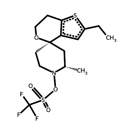 CCc1cc2c(s1)CCO[C@@]21CCN(OS(=O)(=O)C(F)(F)F)[C@@H](C)C1